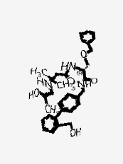 CC(O)CNC(C)(C)CC(=O)N[C@H](COCc1ccccc1)C(=O)NCc1ccc(-c2ccccc2CO)cc1